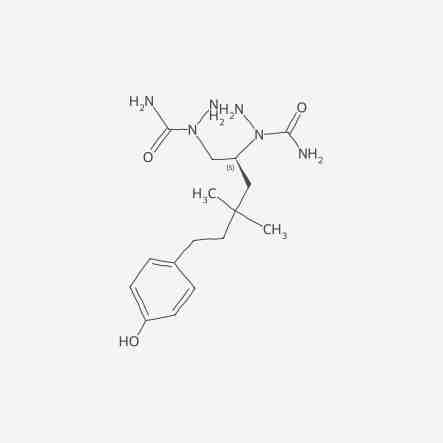 CC(C)(CCc1ccc(O)cc1)C[C@@H](CN(N)C(N)=O)N(N)C(N)=O